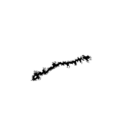 CC(C)=CCC/C(C)=C/CC/C(C)=C/CC/C(C)=C/C=C/C=C(C)/C=C/C=C(C)/C=C/C1=C(C)CCCC1(C)C